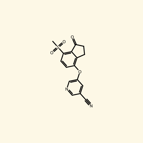 CS(=O)(=O)c1ccc(Oc2cncc(C#N)c2)c2c1C(=O)CC2